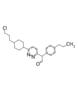 CCCc1ccc(C(C=O)c2ccc(C3CCC(CCCCl)CC3)nn2)cc1